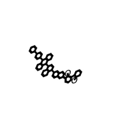 c1ccc(-c2ccc(-c3c4ccccc4c(-c4ccc(-c5ccc6cc7c(cc6c5)oc5c7ccc6oc7ccccc7c65)c5ccccc45)c4ccccc34)cc2)cc1